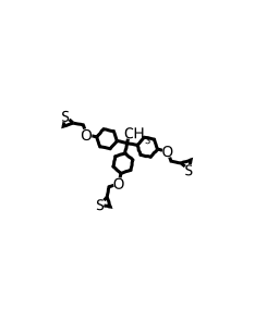 CC(C1CCC(OCC2CS2)CC1)(C1CCC(OCC2CS2)CC1)C1CCC(OCC2CS2)CC1